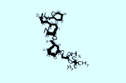 CC(C)(C)OC(=O)COc1cccc(COc2ccc(-c3ccnn3C3CCCCO3)nc2)c1